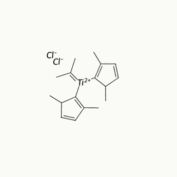 CC1=[C]([Ti+2]([C]2=C(C)C=CC2C)=[C](C)C)C(C)C=C1.[Cl-].[Cl-]